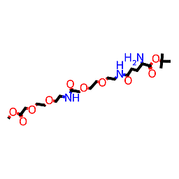 COC(=O)COCCOCCNC(=O)COCCOCCNC(=O)CCC(N)C(=O)OC(C)(C)C